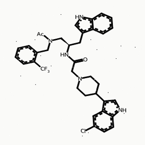 CC(=O)N(Cc1ccccc1C(F)(F)F)C[C@@H](Cc1c[nH]c2ccccc12)NC(=O)CN1CCC(c2c[nH]c3ccc(Cl)cc23)CC1